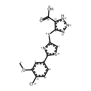 COc1cc(-c2nc(Sc3nn[nH]c3C(=O)O)cs2)ccc1Cl